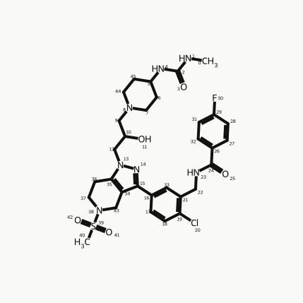 CNC(=O)NC1CCN(CC(O)Cn2nc(-c3ccc(Cl)c(CNC(=O)c4ccc(F)cc4)c3)c3c2CCN(S(C)(=O)=O)C3)CC1